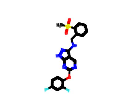 CS(=O)(=O)c1ccccc1CNc1n[nH]c2nc(Oc3ccc(F)cc3F)ncc12